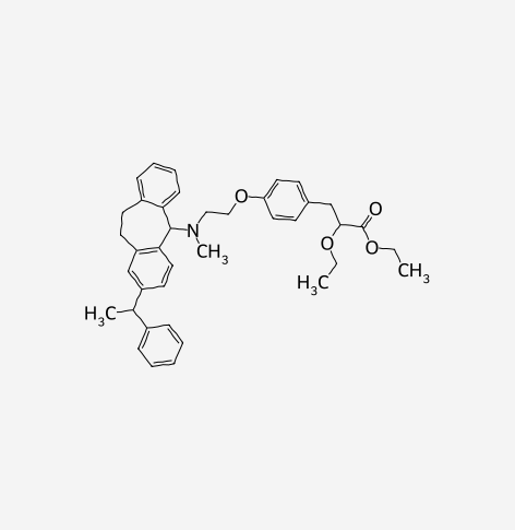 CCOC(=O)C(Cc1ccc(OCCN(C)C2c3ccccc3CCc3cc(C(C)c4ccccc4)ccc32)cc1)OCC